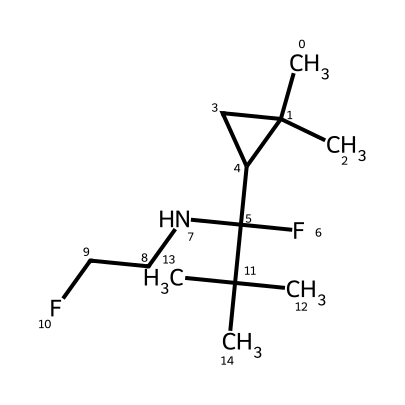 CC1(C)CC1C(F)(NCCF)C(C)(C)C